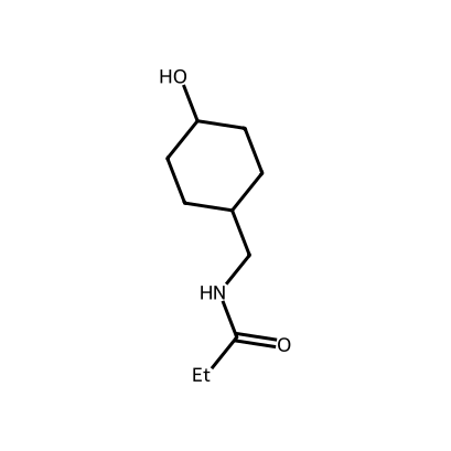 CCC(=O)NCC1CCC(O)CC1